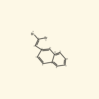 BrC(Br)=Cc1ccc2ccccc2c1